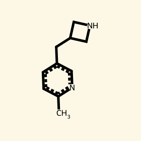 Cc1ccc(CC2CNC2)cn1